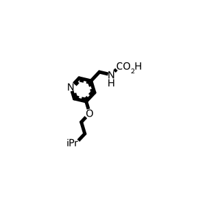 CC(C)CCOc1cncc(CNC(=O)O)c1